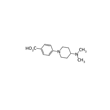 CN(C)C1CCN(c2ccc(C(=O)O)cc2)CC1